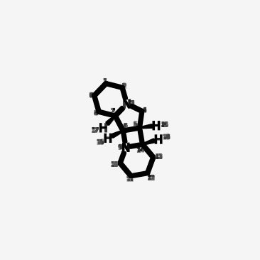 C1CCN2C[C@H]3[C@@H]([C@@H]2C1)N1CCCC[C@@H]31